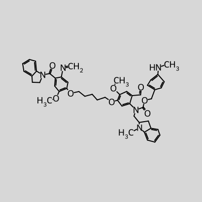 C=Nc1cc(OCCCCCOc2cc(N(CC3Cc4ccccc4N3C)C(=O)OCc3ccc(NC)cc3)c(C=O)cc2OC)c(OC)cc1C(=O)N1CCc2ccccc21